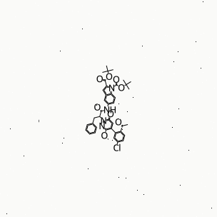 COc1nn(C(Cc2ccccc2)C(=O)Nc2ccc3c(c2)cc(C(=O)OC(C)(C)C)n3C(=O)OC(C)(C)C)c(=O)cc1-c1cc(Cl)ccc1C(C)=O